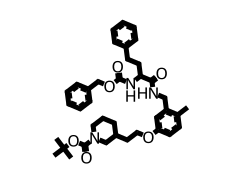 Cc1ccc(OCCC2CCCN(C(=O)OC(C)(C)C)C2)cc1CNC(=O)C(CCc1ccccc1)NC(=O)OCc1ccccc1